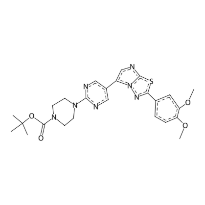 COc1ccc(-c2nn3c(-c4cnc(N5CCN(C(=O)OC(C)(C)C)CC5)nc4)cnc3s2)cc1OC